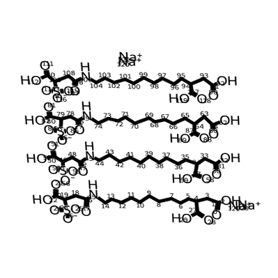 O=C(O)CC(CCCCCCCCCCNC(=O)CC(C(=O)O)S(=O)(=O)[O-])C(=O)O.O=C(O)CC(CCCCCCCCCCNC(=O)CC(C(=O)O)S(=O)(=O)[O-])C(=O)O.O=C(O)CC(CCCCCCCCCCNC(=O)CC(C(=O)O)S(=O)(=O)[O-])C(=O)O.O=C(O)CC(CCCCCCCCCCNC(=O)CC(C(=O)O)S(=O)(=O)[O-])C(=O)O.[Na+].[Na+].[Na+].[Na+]